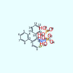 C1=CC(c2ccccc2)=C(c2ccccc2)NS1.O=P(O)(O)OP(=O)(O)O